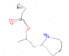 C=CC(=O)OC(C)CC1CCCN1